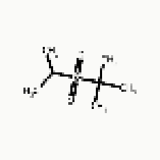 CC(C)S(=O)(=O)C(C)(C)C